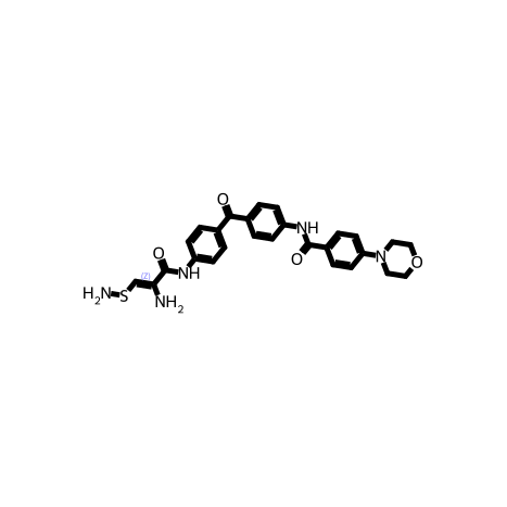 NS/C=C(\N)C(=O)Nc1ccc(C(=O)c2ccc(NC(=O)c3ccc(N4CCOCC4)cc3)cc2)cc1